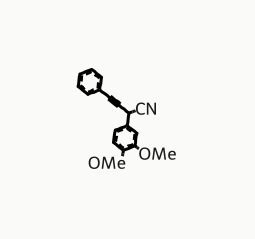 COc1ccc(C(C#N)C#Cc2ccccc2)cc1OC